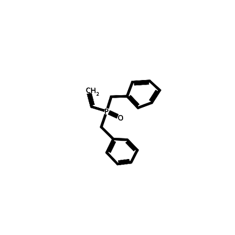 C=CP(=O)(Cc1ccccc1)Cc1ccccc1